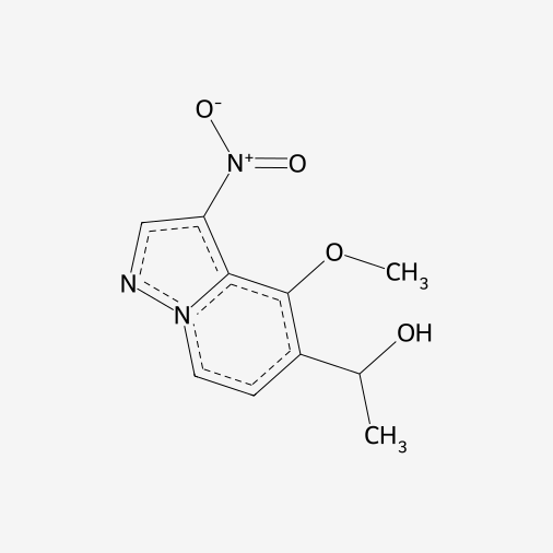 COc1c(C(C)O)ccn2ncc([N+](=O)[O-])c12